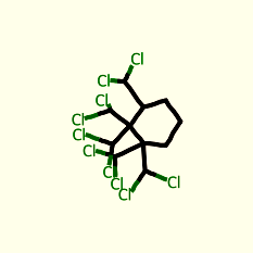 ClC(Cl)C1CCCC(C(Cl)Cl)(C(Cl)Cl)C1(C(Cl)Cl)C(Cl)Cl